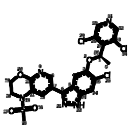 C[C@@H](Oc1cc2c(-c3cnc4c(c3)N(S(C)(=O)=O)CCO4)n[nH]c2cc1Cl)c1c(Cl)cncc1Cl